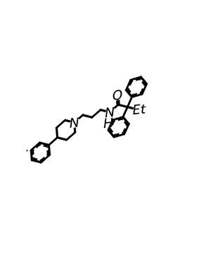 CCC(C(=O)NCCCN1CCC(c2c[c]ccc2)CC1)(c1ccccc1)c1ccccc1